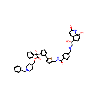 O=C(NCc1ccc(-c2cccc([C@](O)(C(=O)OCC3CCN(Cc4ccccc4)CC3)c3ccccc3)c2)s1)c1ccc(CNC[C@H](O)c2ccc(O)c3[nH]c(=O)ccc23)cc1